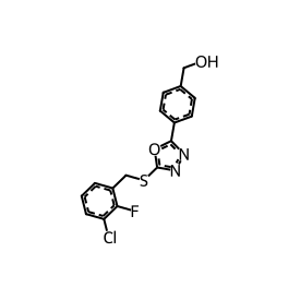 OCc1ccc(-c2nnc(SCc3cccc(Cl)c3F)o2)cc1